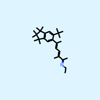 CC/N=C(C)/C(C)=C/C=C(\C)c1cc2c(cc1C(C)(C)C)C(C)(C)C(C)(C)C2(C)C